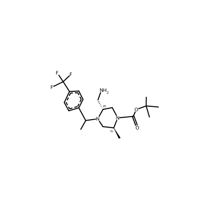 CC(c1ccc(C(F)(F)F)cc1)N1C[C@H](C)N(C(=O)OC(C)(C)C)C[C@H]1CN